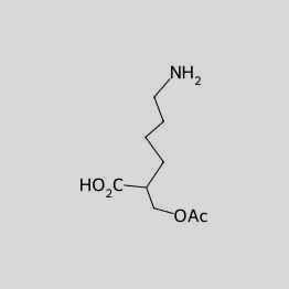 CC(=O)OCC(CCCCN)C(=O)O